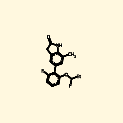 CCC(F)Oc1cccc(F)c1-c1cc(C)c2c(c1)CC(=O)N2